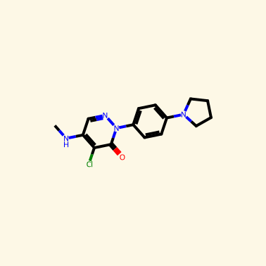 CNc1cnn(-c2ccc(N3CCCC3)cc2)c(=O)c1Cl